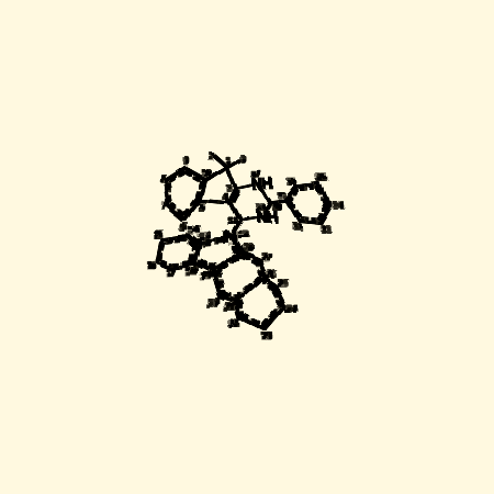 CC1(C)C2=C(c3ccccc31)C(n1c3ccccc3c3cc4ccccc4cc31)NC(c1ccccc1)N2